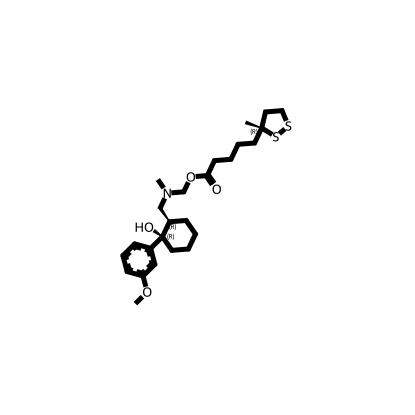 COc1cccc([C@@]2(O)CCCC[C@@H]2CN(C)COC(=O)CCCC[C@]2(C)CCSS2)c1